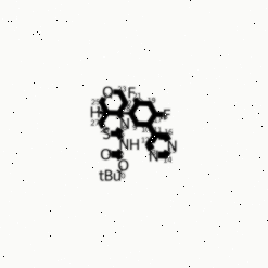 CC(C)(C)OC(=O)NC1=N[C@@]2(C3CC(c4cncnc4)C(F)CC3F)CCOC[C@H]2CS1